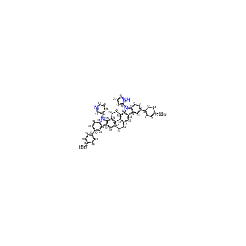 CC(C)(C)C1=CC=C(c2ccc3c(c2)c2cc4c5c(c2n3-c2ccc[nH]2)CCc2c-5c(cc3c5cc(-c6ccc(C(C)(C)C)cc6)ccc5n(-c5cccnc5)c23)CC4)CC1